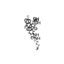 C#CCCCCNC(=O)Nc1ccc(O[C@H]2O[C@H](CCP(=O)(O)O)[C@@H](OC(C)=O)[C@H](C)[C@@H]2C)c(OC(C)=O)c1